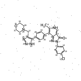 Cc1[nH]cc2c(=O)n(-c3ccc(Cl)cc3)nc-2c1-c1ccc(-c2[nH]nnc2CN2CCOCC2)cc1